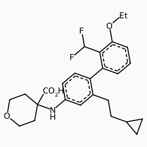 CCOc1cccc(-c2ccc(NC3(C(=O)O)CCOCC3)cc2CCC2CC2)c1C(F)F